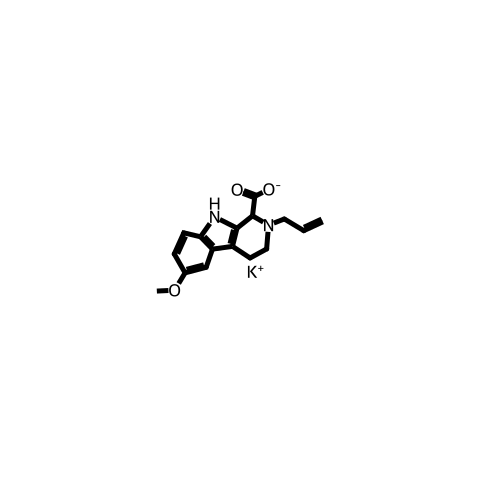 C=CCN1CCc2c([nH]c3ccc(OC)cc23)C1C(=O)[O-].[K+]